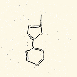 Ic1ccc(-c2ccncc2)s1